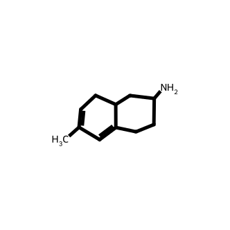 CC1=CCC2CC(N)CCC2=C1